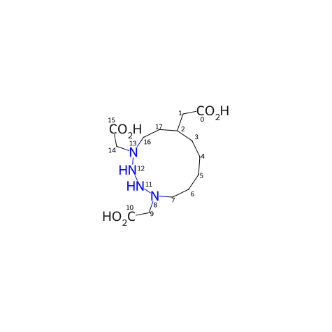 O=C(O)CC1CCCCCN(CC(=O)O)NNN(CC(=O)O)CC1